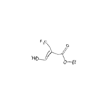 CCOC(=O)/C(=C/O)C(F)(F)F